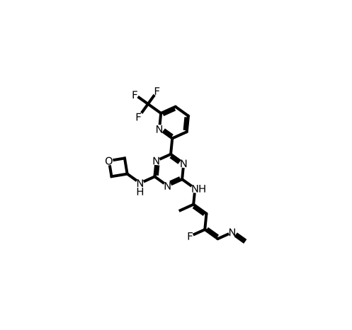 C=N/C=C(F)\C=C(/C)Nc1nc(NC2COC2)nc(-c2cccc(C(F)(F)F)n2)n1